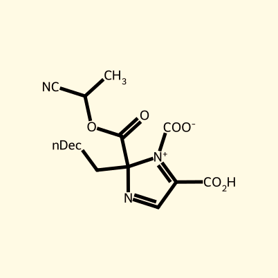 CCCCCCCCCCCC1(C(=O)OC(C)C#N)N=CC(C(=O)O)=[N+]1C(=O)[O-]